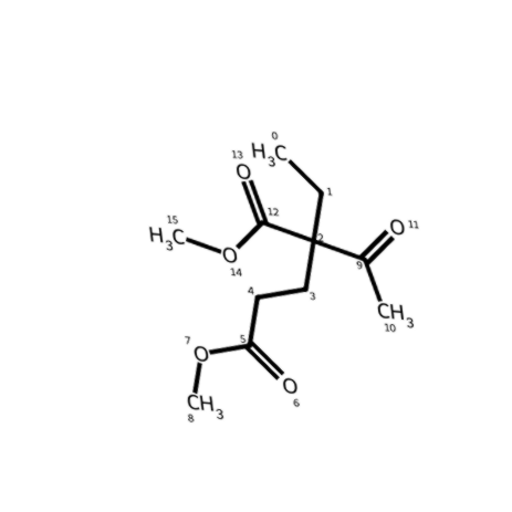 CCC(CCC(=O)OC)(C(C)=O)C(=O)OC